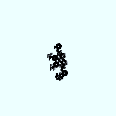 CC(C)[Si](Sc1ccccc1Cc1nc2c(N(c3ccc(C(F)(F)F)cc3)N(c3ccc(C(F)(F)F)cc3)c3ncnc4sc(Cc5ccccc5I)nc34)ncnc2s1)(C(C)C)C(C)C